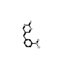 O=[N+]([O-])c1cccc(C=C2C=NC(=S)N=C2)c1